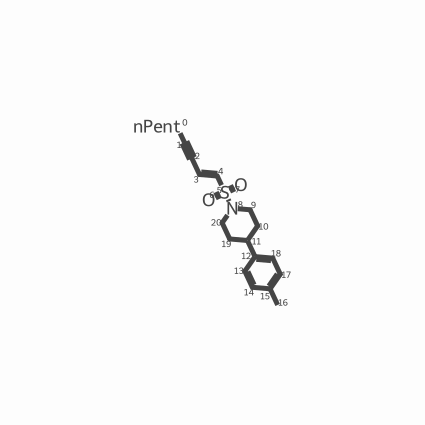 CCCCCC#C/C=C/S(=O)(=O)N1CCC(c2ccc(C)cc2)CC1